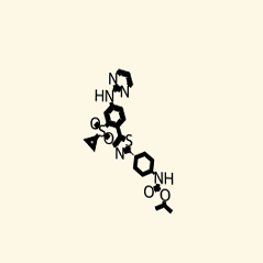 CC(C)OC(=O)N[C@H]1CC[C@H](c2ncc(-c3ccc(Nc4ncccn4)cc3S(=O)(=O)C3CC3)s2)CC1